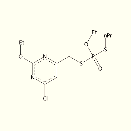 CCCSP(=O)(OCC)SCc1cc(Cl)nc(OCC)n1